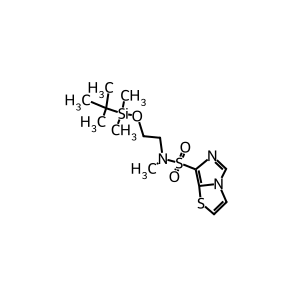 CN(CCO[Si](C)(C)C(C)(C)C)S(=O)(=O)c1ncn2ccsc12